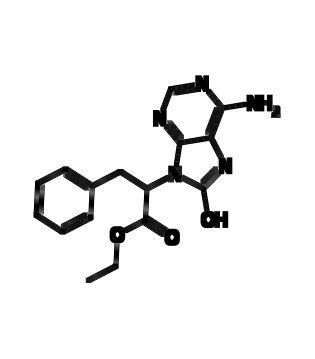 CCOC(=O)C(Cc1ccccc1)n1c(O)nc2c(N)ncnc21